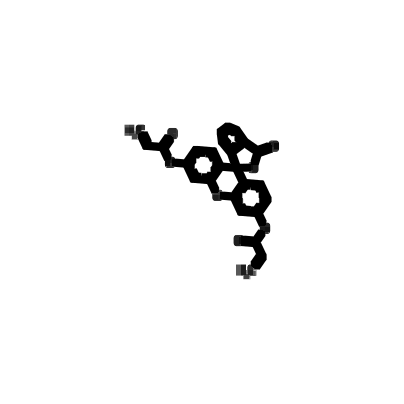 C=CC(=O)Oc1ccc2c(c1)Oc1cc(OC(=O)C=C)ccc1C21OC(=O)c2ccccc21